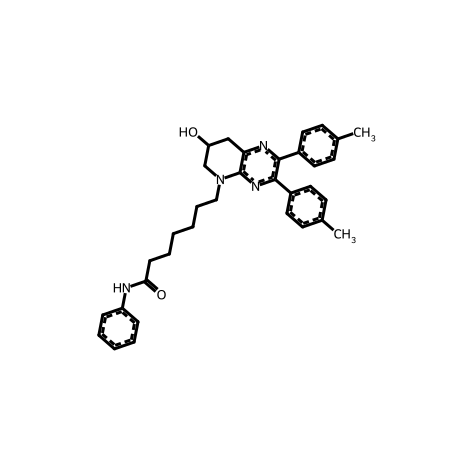 Cc1ccc(-c2nc3c(nc2-c2ccc(C)cc2)N(CCCCCCC(=O)Nc2ccccc2)CC(O)C3)cc1